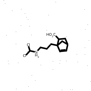 O=C(O)C1CC2C=CC1(CCC[SiH2]C(Cl)Cl)C2